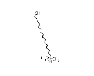 C[Si](C)(Cl)CCCCCCCCCCCCCCCCS